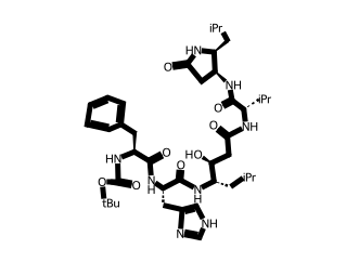 CC(C)C[C@@H]1NC(=O)C[C@@H]1NC(=O)[C@@H](NC(=O)C[C@H](O)[C@H](CC(C)C)NC(=O)[C@H](Cc1c[nH]cn1)NC(=O)[C@H](Cc1ccccc1)NC(=O)OC(C)(C)C)C(C)C